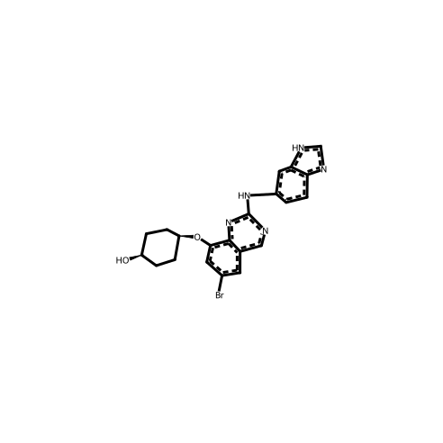 O[C@H]1CC[C@@H](Oc2cc(Br)cc3cnc(Nc4ccc5nc[nH]c5c4)nc23)CC1